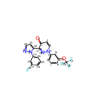 O=c1ccn(-c2cccc(OC(F)(F)F)c2)nc1-c1ccnn1-c1cccc(F)c1